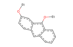 CCOc1ccc2cc3ccccc3c(OCC)c2c1